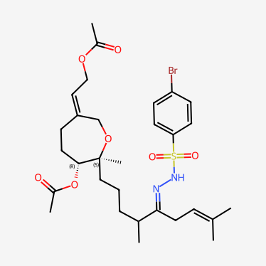 CC(=O)OCC=C1CC[C@@H](OC(C)=O)[C@](C)(CCCC(C)C(CC=C(C)C)=NNS(=O)(=O)c2ccc(Br)cc2)OC1